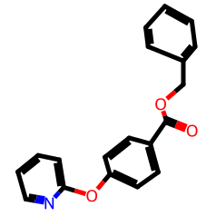 O=C(OCc1ccccc1)c1ccc(Oc2ccccn2)cc1